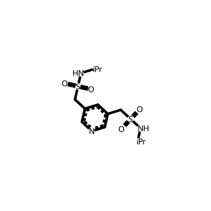 CC(C)NS(=O)(=O)Cc1cncc(CS(=O)(=O)NC(C)C)c1